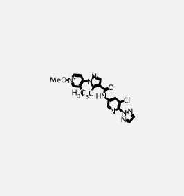 CO[n+]1ccc(-n2ncc(C(=O)Nc3cnc(-n4nccn4)c(Cl)c3)c2C(F)(F)F)c(C)c1